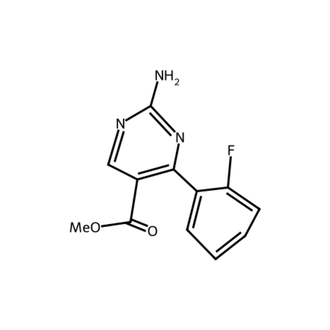 COC(=O)c1cnc(N)nc1-c1ccccc1F